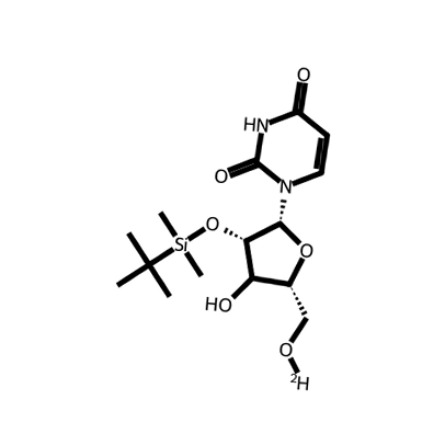 [2H]OC[C@H]1O[C@@H](n2ccc(=O)[nH]c2=O)[C@@H](O[Si](C)(C)C(C)(C)C)C1O